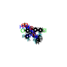 Cn1nc(NS(C)(=O)=O)c2c(Cl)ccc(-n3c([C@H](Cc4cc(F)cc(F)c4)NC(=O)Cn4nc(C(F)F)c5c4C(F)(F)[C@@H]4C[C@H]54)nc4cc(-c5ccc(Cl)cc5)ccc4c3=O)c21